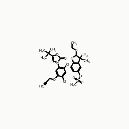 C#CCOc1cc(-n2nc(C(C)(C)C)oc2=O)c(Cl)cc1Cl.CCOC1Oc2ccc(OS(C)(=O)=O)cc2C1(C)C